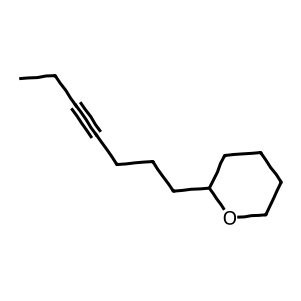 CCC#CCCCC1CCCCO1